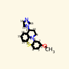 COc1ccc2c(c1)N1CCC(n3ccnc3)c3cccc(c31)S2